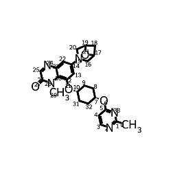 Cc1nccc(O[C@H]2CC[C@@H](Oc3cc(N4CC5CC(C4)O5)cc4ncc(=O)n(C)c34)CC2)n1